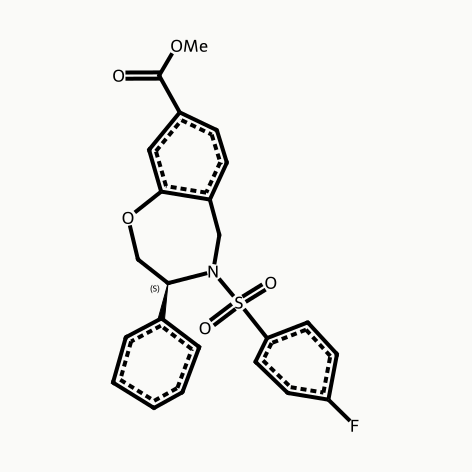 COC(=O)c1ccc2c(c1)OC[C@H](c1ccccc1)N(S(=O)(=O)c1ccc(F)cc1)C2